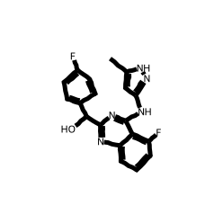 Cc1cc(Nc2nc(C(O)c3ccc(F)cc3)nc3cccc(F)c23)n[nH]1